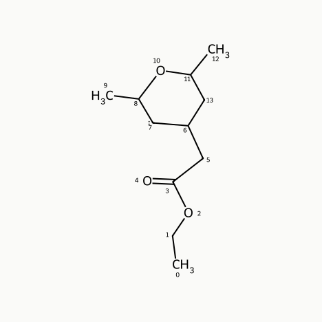 CCOC(=O)CC1[C]C(C)OC(C)C1